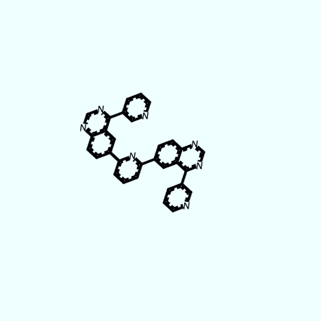 c1cncc(-c2ncnc3ccc(-c4cccc(-c5ccc6ncnc(-c7cccnc7)c6c5)n4)cc23)c1